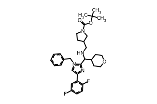 CC(C)(C)OC(=O)N1CCC(CNC(c2nc(-c3cc(F)ccc3F)cn2Cc2ccccc2)C2CCOCC2)C1